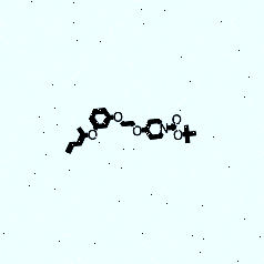 C=C/C=C(\C)Oc1cccc(OCCOC2CCN(C(=O)OC(C)(C)C)CC2)c1